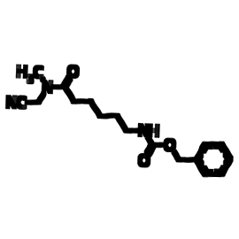 CN(CC#N)C(=O)CCCCCNC(=O)OCc1ccccc1